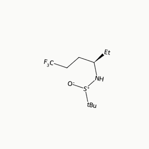 CC[C@H](CCC(F)(F)F)N[S+]([O-])C(C)(C)C